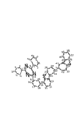 c1ccc(-c2nc(-c3ccccc3)nc(-c3cccc(-c4cccc5c4sc4ccc(-c6ccc7sc8ccccc8c7c6)cc45)c3)n2)cc1